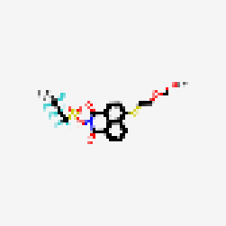 CCOCOCCSc1ccc2c3c(cccc13)C(=O)N(OS(=O)(=O)C(F)(F)C(F)(F)C(F)(F)C(F)(F)F)C2=O